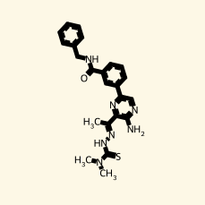 CC(=NNC(=S)N(C)C)c1nc(-c2cccc(C(=O)NCc3ccccc3)c2)cnc1N